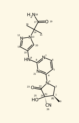 C[C@@H]1CN(c2ccnc(Nc3cnn(C(C)(C)C(N)=O)c3)n2)C(=O)[C@@]1(O)C#N